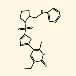 CCc1cc(-c2ccc(S(=O)(=O)N3CCCC3CNc3ccccc3)s2)c(C)[nH]c1=O